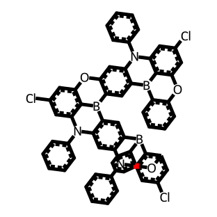 Clc1cc2c3c(c1)N(c1ccccc1)c1cc4c(cc1B3c1ccccc1O2)B1c2cc3c(cc2N(c2ccccc2)c2cc(Cl)cc(c21)O4)N(c1ccccc1)c1cc(Cl)cc2c1B3c1ccccc1O2